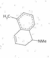 CNC1CC=Cc2c(C)cccc21